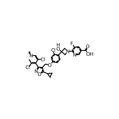 C=N/C=C(Cl)\C(=C(/C)Cl)c1noc(C2CC2)c1COc1ccc(C2(O)CN(c3ncc(C(=O)O)cc3F)C2)c(Cl)c1